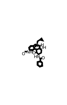 O=CNc1ccc2c3c1OC1C(NC(=O)c4ccccc4)CC[C@@]4(O)[C@@H](C2)N(CC2CC2)CC[C@]314